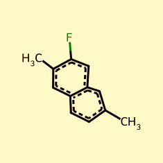 Cc1ccc2cc(C)c(F)cc2c1